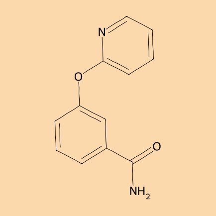 NC(=O)c1cccc(Oc2ccccn2)c1